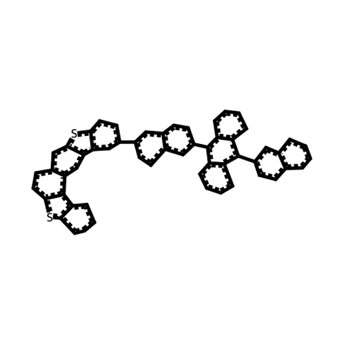 c1ccc2cc(-c3c4ccccc4c(-c4ccc5cc(-c6ccc7sc8cc9ccc%10sc%11ccccc%11c%10c9cc8c7c6)ccc5c4)c4ccccc34)ccc2c1